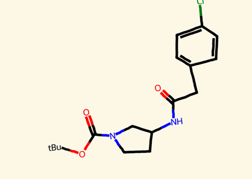 CC(C)(C)OC(=O)N1CCC(NC(=O)Cc2ccc(Cl)cc2)C1